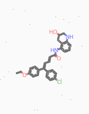 CCOc1ccc(C(=CC=CC(=O)Nc2cccc3c2CC(O)CN3)c2ccc(Cl)cc2)cc1